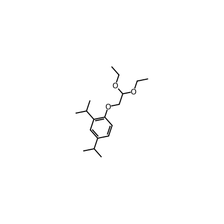 CCOC(COc1ccc(C(C)C)cc1C(C)C)OCC